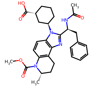 COC(=O)N1c2ccc3c(nc([C@H](Cc4ccccc4)NC(C)=O)n3[C@@H]3CCC[C@@H](C(=O)O)C3)c2CC[C@@H]1C